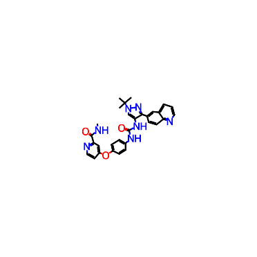 CNC(=O)c1cc(Oc2ccc(NC(=O)Nc3cn(C(C)(C)C)nc3-c3ccc4ncccc4c3)cc2)ccn1